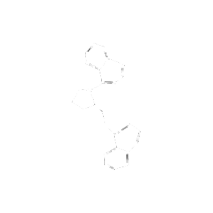 c1ccc2c(OC[C@H]3CCCN3c3ncnc4ncccc34)cccc2c1